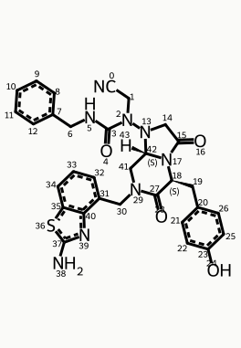 N#CCN(C(=O)NCc1ccccc1)N1CC(=O)N2[C@@H](Cc3ccc(O)cc3)C(=O)N(Cc3cccc4sc(N)nc34)C[C@@H]21